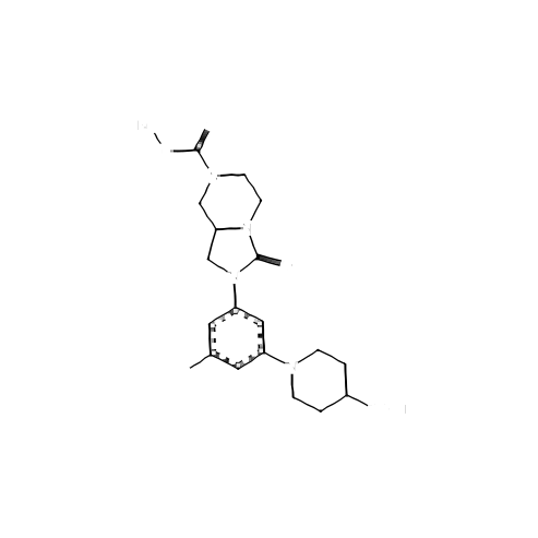 CC(C)(C)OC(=O)N1CCN2C(=O)N(c3cc(F)cc(N4CCC(C(=O)O)CC4)c3)CC2C1